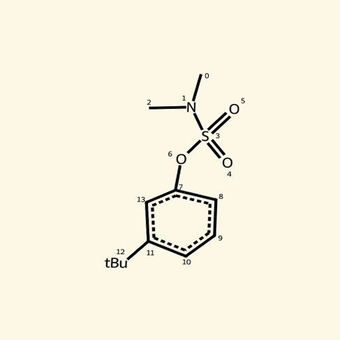 CN(C)S(=O)(=O)Oc1cccc(C(C)(C)C)c1